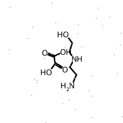 NCCNCCO.O=C(O)C(=O)O